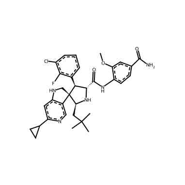 COc1cc(C(N)=O)ccc1NC(=O)[C@@H]1N[C@@H](CC(C)(C)C)[C@@]2(CNc3cc(C4CC4)ncc32)[C@H]1c1cccc(Cl)c1F